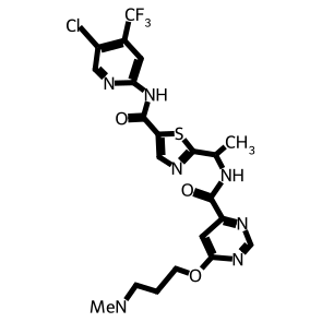 CNCCCOc1cc(C(=O)NC(C)c2ncc(C(=O)Nc3cc(C(F)(F)F)c(Cl)cn3)s2)ncn1